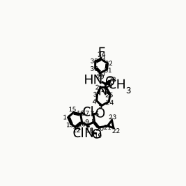 C[C@@H]1CC2C[C@H](OCc3c(-c4c(Cl)cccc4Cl)noc3C3CC3)CC1N2C(=O)Nc1ccc(F)cc1